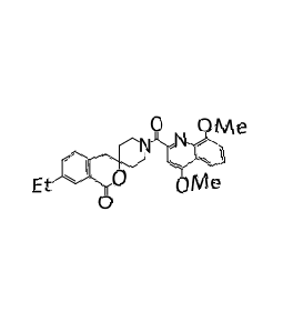 CCc1ccc2c(c1)C(=O)OC1(CCN(C(=O)c3cc(OC)c4cccc(OC)c4n3)CC1)C2